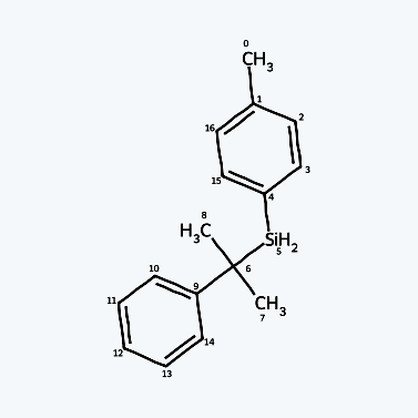 Cc1ccc([SiH2]C(C)(C)c2ccccc2)cc1